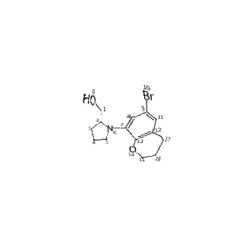 OC[C@H]1CCCN1c1cc(Br)cc2c1OCCC2